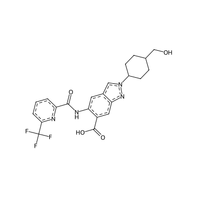 O=C(Nc1cc2cn(C3CCC(CO)CC3)nc2cc1C(=O)O)c1cccc(C(F)(F)F)n1